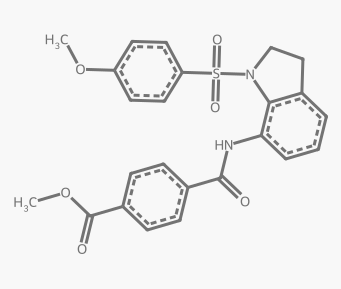 COC(=O)c1ccc(C(=O)Nc2cccc3c2N(S(=O)(=O)c2ccc(OC)cc2)CC3)cc1